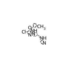 Cc1cccc(C(=O)Nc2cc(Cl)cnc2N2CCC(CCNc3cccnc3)CC2)c1